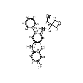 Fc1ccc(Nc2ccc(NCC3(CBr)COC3)c(-c3ccccc3)c2)c(Cl)c1